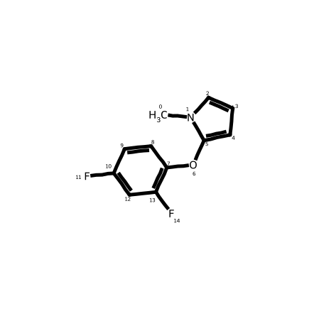 Cn1c[c]cc1Oc1ccc(F)cc1F